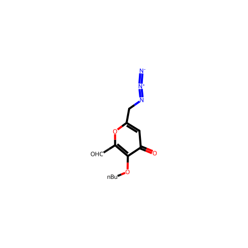 CCCCOc1c(C=O)oc(CN=[N+]=[N-])cc1=O